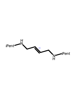 CCCC(C)NC/C=C/CNC(C)CCC